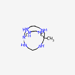 C[C@]12CNCCCNC[N@](CNCCCNC1)CNCCNC2